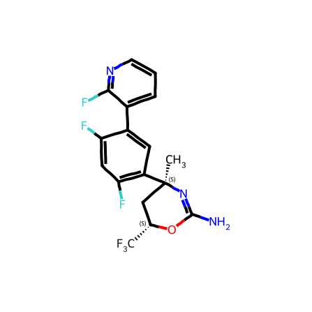 C[C@@]1(c2cc(-c3cccnc3F)c(F)cc2F)C[C@@H](C(F)(F)F)OC(N)=N1